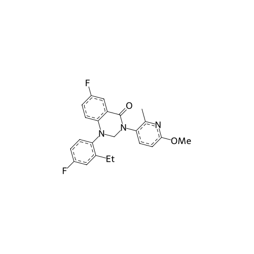 CCc1cc(F)ccc1N1CN(c2ccc(OC)nc2C)C(=O)c2cc(F)ccc21